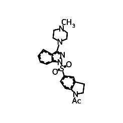 CC(=O)N1CCc2cc(S(=O)(=O)n3nc(N4CCN(C)CC4)c4ccccc43)ccc21